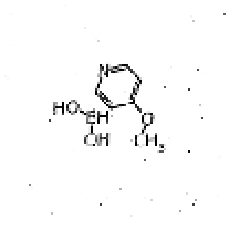 COc1ccncc1.OBO